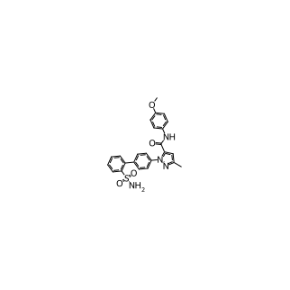 COc1ccc(NC(=O)c2cc(C)nn2-c2ccc(-c3ccccc3S(N)(=O)=O)cc2)cc1